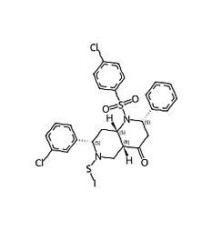 O=C1C[C@@H](c2ccccc2)N(S(=O)(=O)c2ccc(Cl)cc2)[C@H]2C[C@@H](c3cccc(Cl)c3)N(SI)C[C@@H]12